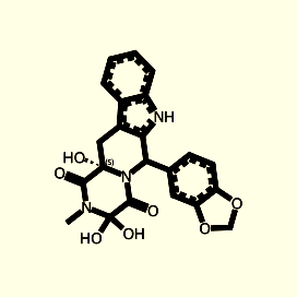 CN1C(=O)[C@@]2(O)Cc3c([nH]c4ccccc34)C(c3ccc4c(c3)OCO4)N2C(=O)C1(O)O